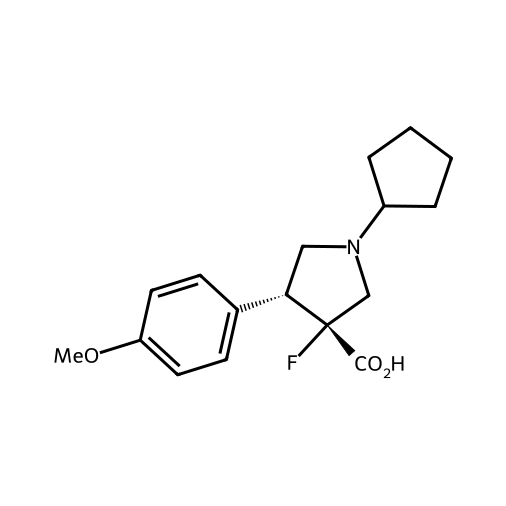 COc1ccc([C@@H]2CN(C3CCCC3)C[C@@]2(F)C(=O)O)cc1